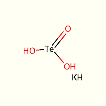 O=[Te](O)O.[KH]